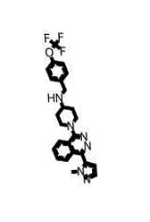 Cn1nccc1-c1nnc(N2CCC(NCc3ccc(OC(F)(F)F)cc3)CC2)c2ccccc12